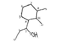 CCC(O)C1CCCC(C)C1C